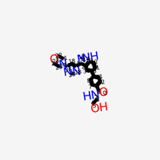 O=C(NCCO)c1ccc(-c2ccc3[nH]nc(-c4cc(N5CCOCC5)ncn4)c3c2)cc1